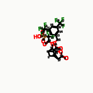 O=C1OC2C3CC(C2OC(=O)C(F)(F)S(=O)(=O)O)C(C(=O)OCc2cc(C(F)(F)F)cc(C(F)(F)F)c2)C13